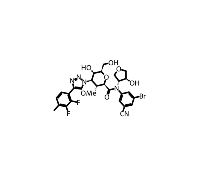 CO[C@@H]1[C@@H](n2cc(-c3ccc(C)c(F)c3F)nn2)[C@@H](O)[C@@H](CO)O[C@H]1C(=O)N(c1cc(Br)cc(C#N)c1)[C@@H]1COC[C@H]1O